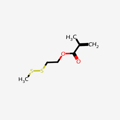 C=C(C)C(=O)OCCSSC